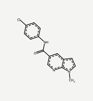 Cn1ccc2cc(C(=O)Nc3ccc(Cl)cc3)cnc21